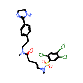 CN(CCc1ccc(C2=NCCN2)cc1)C(=O)CCCN(C)S(=O)(=O)c1cc(Cl)c(Cl)cc1Cl